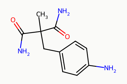 CC(Cc1ccc(N)cc1)(C(N)=O)C(N)=O